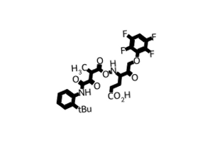 CC(C(=O)ONC(CCC(=O)O)C(=O)COc1c(F)c(F)cc(F)c1F)C(=O)C(=O)Nc1ccccc1C(C)(C)C